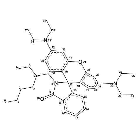 CCCCC(CC)CN1C(=O)c2ccccc2C12c1ccc(N(CC)CC)cc1Oc1cc(N(CC)CC)ccc12